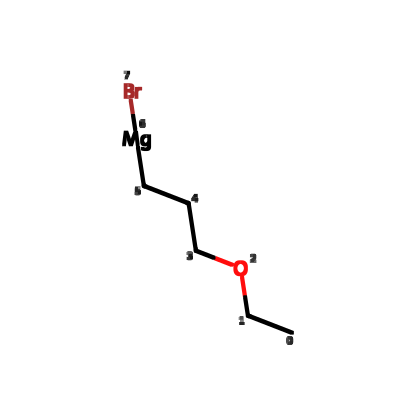 CCOCC[CH2][Mg][Br]